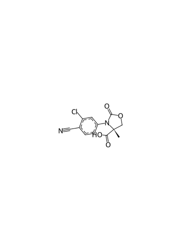 C[C@]1(C(=O)O)COC(=O)N1c1ccc(C#N)c(Cl)c1